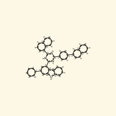 c1ccc(-c2cc(-c3nc(-c4ccc(-c5ccc6ccccc6c5)cc4)nc(-c4cccc5ccccc45)n3)c3c(c2)oc2ccccc23)cc1